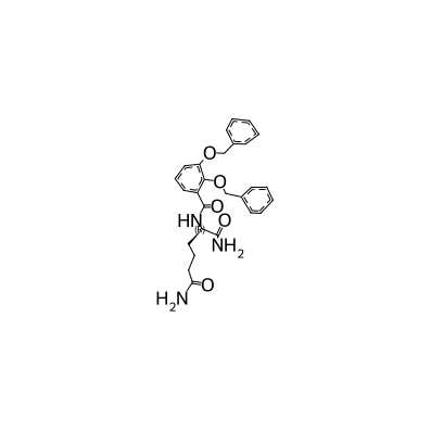 NC(=O)CCC[C@@H](NC(=O)c1cccc(OCc2ccccc2)c1OCc1ccccc1)C(N)=O